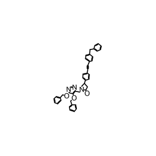 O=C1CC(c2ccc(C#Cc3ccc(Cc4ccccc4)cc3)cc2)CN1Cc1ncnc(OCc2ccccc2)c1OCc1ccccc1